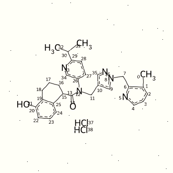 Cc1cccnc1Cn1cc(CN(C(=O)C2CCCc3c(O)cccc32)c2ccc(C(C)C)nc2)cn1.Cl.Cl